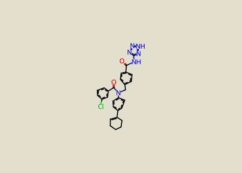 O=C(Nc1nn[nH]n1)c1ccc(CN(C(=O)c2cccc(Cl)c2)c2ccc(C3=CCCCC3)cc2)cc1